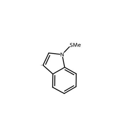 CSn1c[c]c2ccccc21